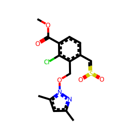 COC(=O)c1ccc(C=S(=O)=O)c(COn2nc(C)cc2C)c1Cl